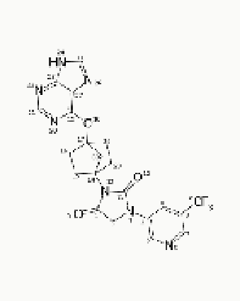 O=C1CN(c2cncc(C(F)(F)F)c2)C(=O)N1C12CCC(Oc3ncnc4[nH]cnc34)(CC1)C2